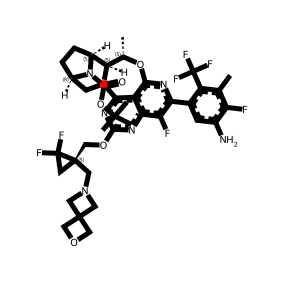 Cc1c(F)c(N)cc(-c2nc3c4c(nc(OC[C@@]5(CN6CC7(COC7)C6)CC5(F)F)nc4c2F)N2C[C@H]4CC[C@@H]([C@H]2[C@H](C)O3)N4C(=O)OC(C)(C)C)c1C(F)(F)F